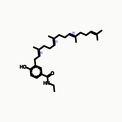 CCNC(=O)c1ccc(O)c(C/C=C(\C)CC/C=C(\C)CC/C=C(\C)CCC=C(C)C)c1